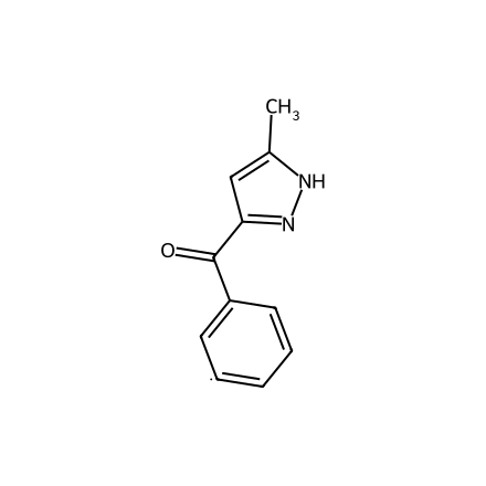 Cc1cc(C(=O)c2c[c]ccc2)n[nH]1